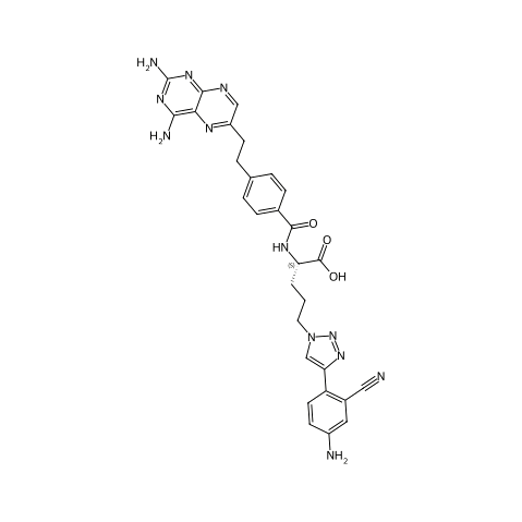 N#Cc1cc(N)ccc1-c1cn(CCC[C@H](NC(=O)c2ccc(CCc3cnc4nc(N)nc(N)c4n3)cc2)C(=O)O)nn1